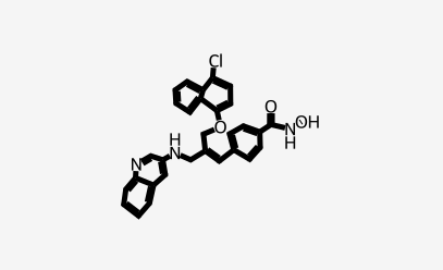 O=C(NO)c1ccc(C=C(CNc2cnc3ccccc3c2)COc2ccc(Cl)c3ccccc23)cc1